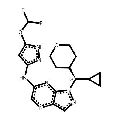 FC(F)Oc1cc(Nc2cnc3cnn([C@@H](C4CCOCC4)C4CC4)c3n2)n[nH]1